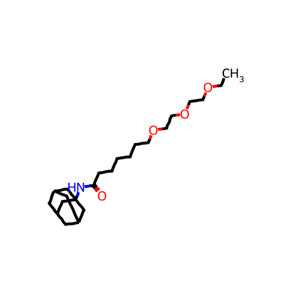 CCOCCOCCOCCCCCCC(=O)NC12CC3CC(CC(C3)C1)C2